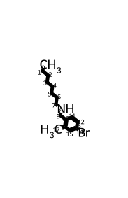 CCCCCCCCNCc1ccc(Br)cc1C